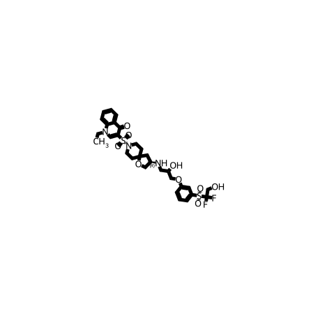 CCn1cc(S(=O)(=O)N2CCC3(CC2)C[C@@H](NCC(O)COc2cccc(S(=O)(=O)C(F)(F)CO)c2)CO3)c(=O)c2ccccc21